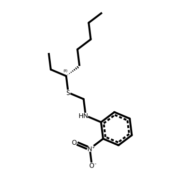 CCCCC[C@@H](CC)SCNc1ccccc1[N+](=O)[O-]